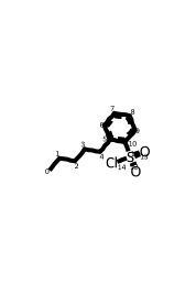 CCCCCc1ccccc1S(=O)(=O)Cl